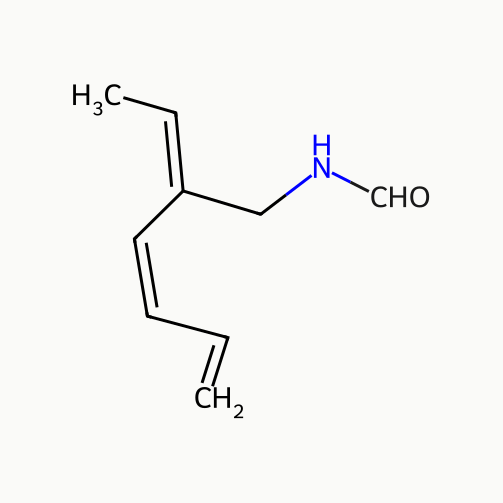 C=C/C=C\C(=C/C)CNC=O